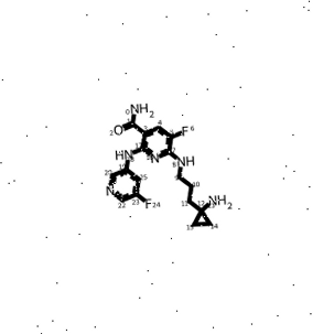 NC(=O)c1cc(F)c(NCCCC2(N)CC2)nc1Nc1cncc(F)c1